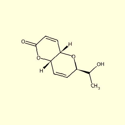 CC(O)[C@H]1C=C[C@@H]2OC(=O)C=C[C@@H]2O1